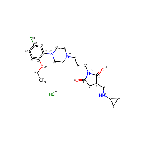 Cl.O=C1CC(CNC2CC2)C(=O)N1CCCN1CCN(c2cc(F)ccc2OCC(F)(F)F)CC1